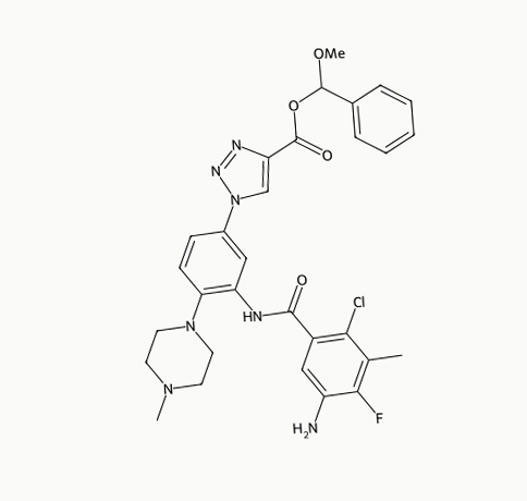 COC(OC(=O)c1cn(-c2ccc(N3CCN(C)CC3)c(NC(=O)c3cc(N)c(F)c(C)c3Cl)c2)nn1)c1ccccc1